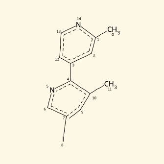 Cc1cc(-c2ncc(I)cc2C)ccn1